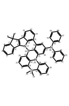 CC1(C)c2ccccc2-c2c1c1cccc3c1n2B1c2cccc4c2N(c2ccccc2[Si]4(C)C)c2cc(N(c4ccccc4)c4ccccc4)cc-3c21